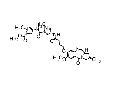 C=C1C[C@H]2C=Nc3cc(OCCCC(=O)Nc4cc(C(=O)Nc5cc(C(=O)OC)n(C)c5)n(C)c4)c(OC)cc3C(=O)N2C1